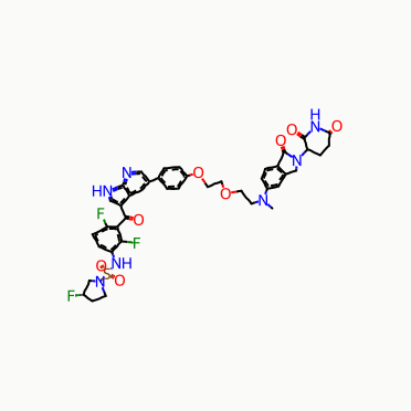 CN(CCOCCOc1ccc(-c2cnc3[nH]cc(C(=O)c4c(F)ccc(NS(=O)(=O)N5CC[C@@H](F)C5)c4F)c3c2)cc1)c1ccc2c(c1)CN(C1CCC(=O)NC1=O)C2=O